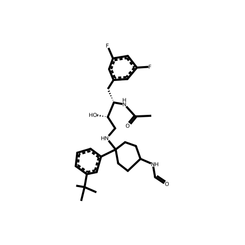 CC(=O)N[C@@H](Cc1cc(F)cc(F)c1)[C@@H](O)CNC1(c2cccc(C(C)(C)C)c2)CCC(NC=O)CC1